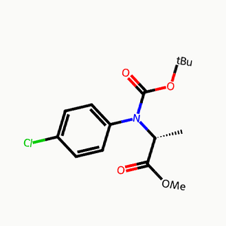 COC(=O)[C@@H](C)N(C(=O)OC(C)(C)C)c1ccc(Cl)cc1